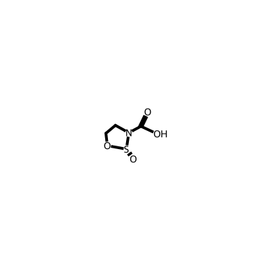 O=C(O)N1CCOS1=O